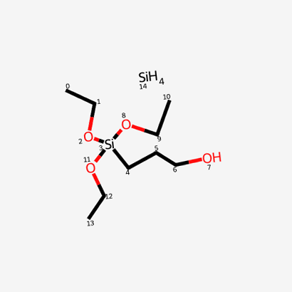 CCO[Si](CCCO)(OCC)OCC.[SiH4]